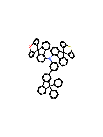 c1ccc(C2(c3ccccc3)c3ccccc3-c3ccc(-c4cccc(N(c5cccc6c5-c5ccccc5C65c6ccccc6Oc6ccccc65)c5cccc6c5-c5ccccc5C65c6ccccc6Sc6ccccc65)c4)cc32)cc1